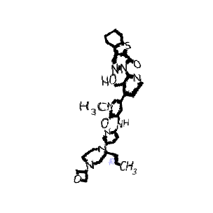 C/C=C/C1CN(C2COC2)CCN1c1ccc(Nc2cc(-c3ccnc(-n4ncc5c6c(sc5c4=O)CCCC6)c3CO)cn(C)c2=O)nc1